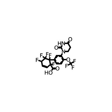 O=C1CCN(c2cc(C3(F)C(F)(C(=O)O)C=CC(F)C3(F)F)ccc2OC(F)(F)F)C(=O)N1